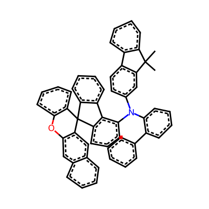 CC1(C)c2ccccc2-c2ccc(N(c3ccccc3-c3ccccc3)c3cccc4c3-c3ccccc3C43c4ccccc4Oc4cc5ccccc5cc43)cc21